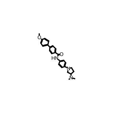 COc1ccc(-c2ccc(C(=O)Nc3ccc(N4CCC(N(C)C)C4)cc3)cc2)cc1